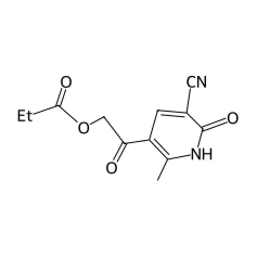 CCC(=O)OCC(=O)c1cc(C#N)c(=O)[nH]c1C